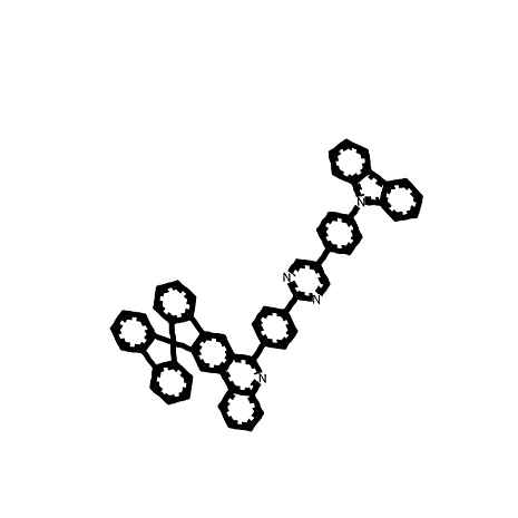 c1ccc2c(c1)-c1ccccc1C21c2ccccc2-c2cc3c(-c4ccc(-c5ncc(-c6ccc(-n7c8ccccc8c8ccccc87)cc6)cn5)cc4)nc4ccccc4c3cc21